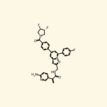 C=C(C(=O)NCc1cc2cc(-c3ccc(C(=O)N4C[C@@H](F)[C@H](F)C4)cc3)cc(-c3ccc(F)cc3)n2n1)c1ccc(N)nc1